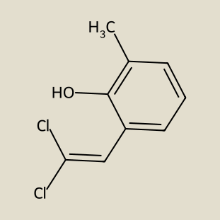 Cc1cccc(C=C(Cl)Cl)c1O